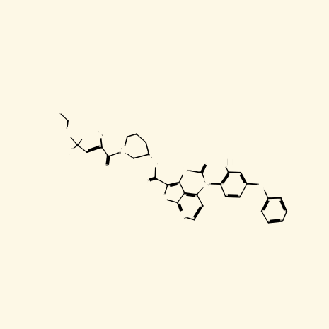 CCOC(C)(C)/C=C(\N)C(=O)N1CCC[C@@H](NC(=O)c2sc3nccc4c3c2NC(=O)N4c2ccc(Oc3ccccc3)cc2C)C1